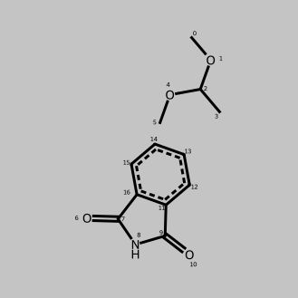 COC(C)OC.O=C1NC(=O)c2ccccc21